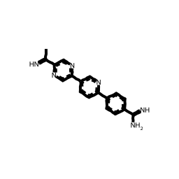 CC(=N)c1cnc(-c2ccc(-c3ccc(C(=N)N)cc3)nc2)cn1